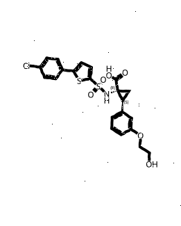 O=C(O)[C@@]1(NS(=O)(=O)c2ccc(-c3ccc(Cl)cc3)s2)C[C@H]1c1cccc(OCCO)c1